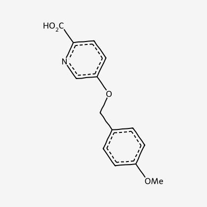 COc1ccc(COc2ccc(C(=O)O)nc2)cc1